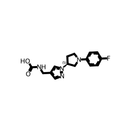 O=C(O)NCc1cnn([C@H]2CCN(c3ccc(F)cc3)C2)c1